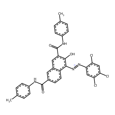 Cc1ccc(NC(=O)c2ccc3c(/N=N/c4cc(Cl)c(Cl)cc4Cl)c(O)c(C(=O)Nc4ccc(C)cc4)cc3c2)cc1